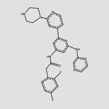 O=C(Cc1ccc(F)cc1F)Nc1cc(Nc2cnccn2)nc(-c2ccnc(N3CCNCC3)c2)c1